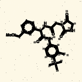 COCc1cccc([C@@H](NC(=O)CN2C(=O)CNC2=O)C(=O)Nc2ccc([Si](C)(C)C)c(F)c2)c1